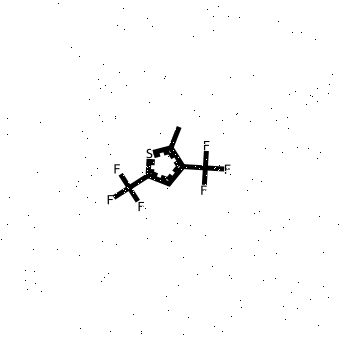 Cc1sc(C(F)(F)F)cc1C(F)(F)F